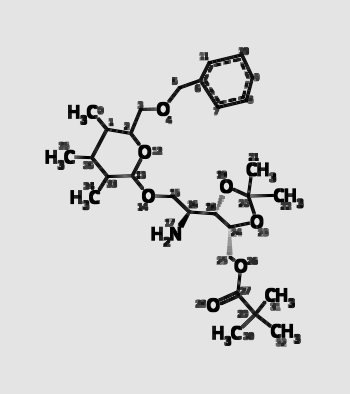 CC1C(COCc2ccccc2)OC(OC[C@H](N)[C@@H]2OC(C)(C)O[C@@H]2COC(=O)C(C)(C)C)C(C)C1C